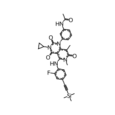 CC(=O)Nc1cccc(-n2c(=O)n(C3CC3)c(=O)c3c(Nc4ccc(C#C[Si](C)(C)C)cc4F)n(C)c(=O)c(C)c32)c1